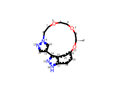 C[C@H]1COCCOCCn2cc(cn2)-c2n[nH]c3ccc(cc23)O1